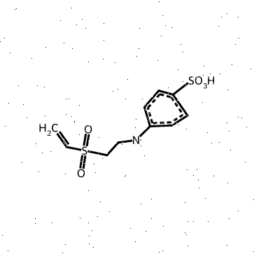 C=CS(=O)(=O)CC[N]c1ccc(S(=O)(=O)O)cc1